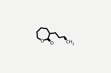 C=CCCC1CCCCOC1=O